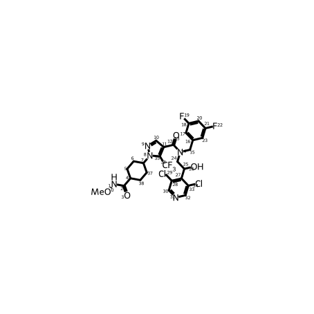 CONC(=O)C1CCC(n2ncc(C(=O)N(Cc3cc(F)cc(F)c3)CC(O)c3c(Cl)cncc3Cl)c2C(F)(F)F)CC1